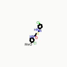 COc1ccc(NC(=O)CSc2nc3ccc(Cl)cc3[nH]2)cc1Cl